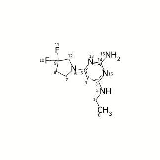 CCNc1cc(N2CCC(F)(F)C2)nc(N)n1